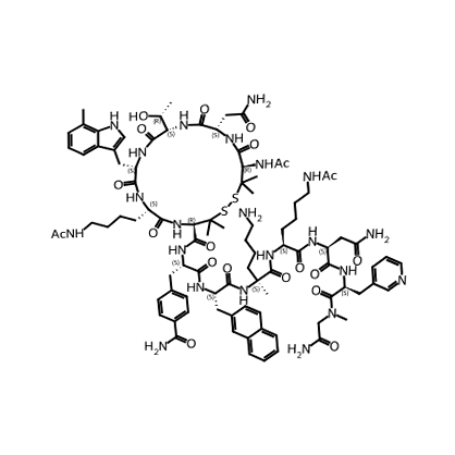 CC(=O)NCCCC[C@@H]1NC(=O)[C@H](Cc2c[nH]c3c(C)cccc23)NC(=O)[C@H]([C@@H](C)O)NC(=O)[C@H](CC(N)=O)NC(=O)[C@@H](NC(C)=O)C(C)(C)SSC(C)(C)[C@@H](C(=O)N[C@@H](Cc2ccc(C(N)=O)cc2)C(=O)N[C@@H](Cc2ccc3ccccc3c2)C(=O)N[C@@](C)(CCCCN)C(=O)N[C@@H](CCCCNC(C)=O)C(=O)N[C@@H](CC(N)=O)C(=O)N[C@@H](Cc2cccnc2)C(=O)N(C)CC(N)=O)NC1=O